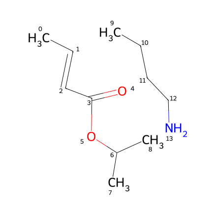 CC=CC(=O)OC(C)C.CCCCN